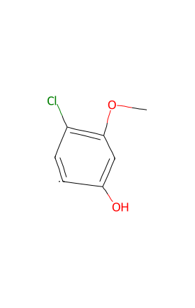 COc1cc(O)[c]cc1Cl